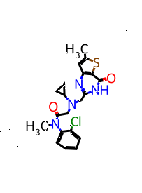 Cc1cc2nc(CN(CC(=O)N(C)c3ccccc3Cl)C3CC3)[nH]c(=O)c2s1